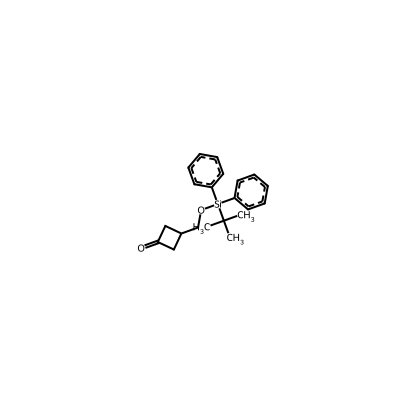 CC(C)(C)[Si](OCC1CC(=O)C1)(c1ccccc1)c1ccccc1